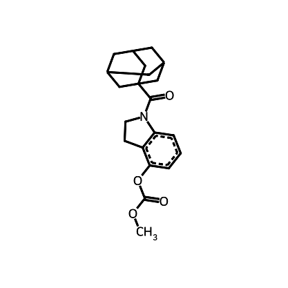 COC(=O)Oc1cccc2c1CCN2C(=O)C12CC3CC(CC(C3)C1)C2